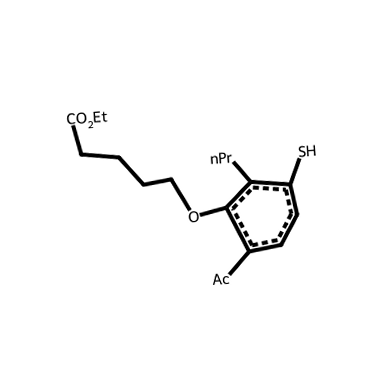 CCCc1c(S)ccc(C(C)=O)c1OCCCCC(=O)OCC